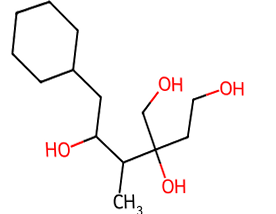 CC(C(O)CC1CCCCC1)C(O)(CO)CCO